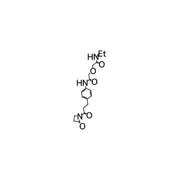 CCNC(=O)COCC(=O)Nc1ccc(CCC(=O)N2CCC2=O)cc1